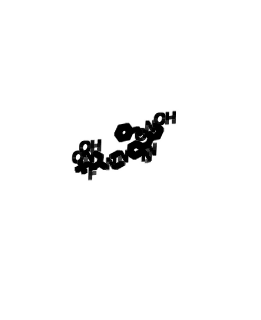 Cn1nc(-c2ccc(O)nc2OCc2ccccc2)c2ccc(N3CCN(CC4CCN(C(=O)O)C(C(C)(C)C)C4F)CC3)cc21